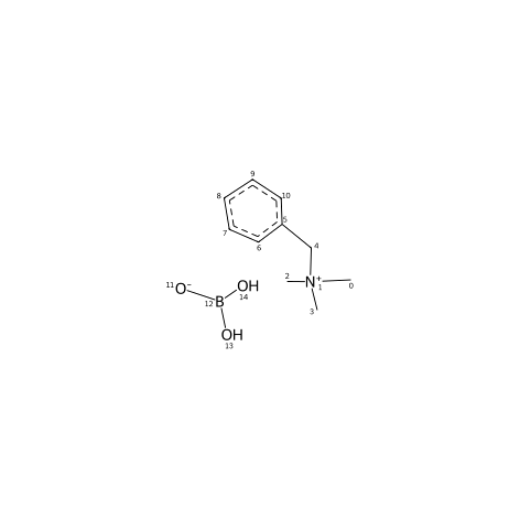 C[N+](C)(C)Cc1ccccc1.[O-]B(O)O